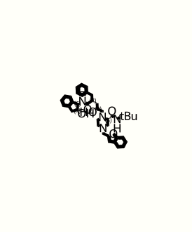 CC(C)(C)NC(=O)[C@@H]1CN(Cc2cc3ccccc3o2)CCN1C[C@@H](O)C[C@@H](Cc1ccccc1)C(=O)N[C@H]1c2ccccc2C[C@H]1O